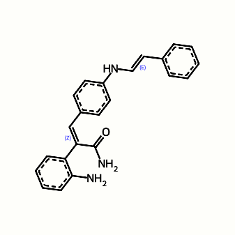 NC(=O)/C(=C\c1ccc(N/C=C/c2ccccc2)cc1)c1ccccc1N